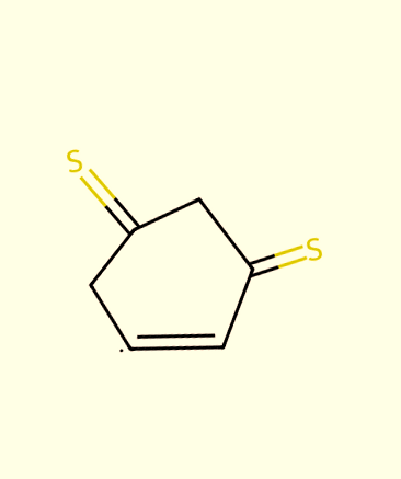 S=C1C=[C]CC(=S)C1